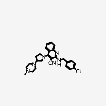 CN1CCN(C2CCN(c3c(C#N)c(NCc4ccc(Cl)cc4)nc4ccccc34)C2)CC1